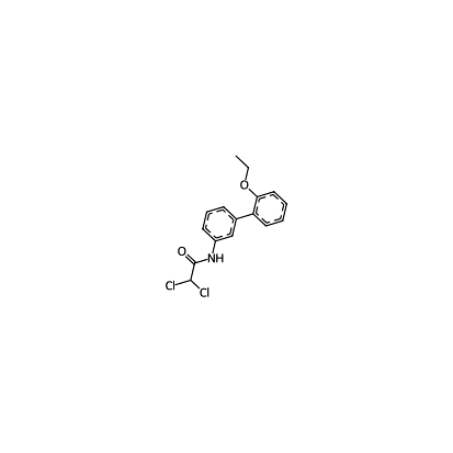 CCOc1ccccc1-c1cccc(NC(=O)C(Cl)Cl)c1